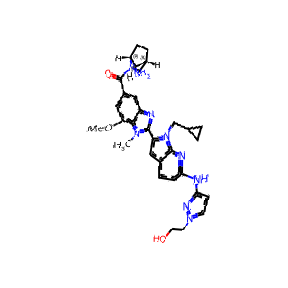 COc1cc(C(=O)N2C[C@H]3CC[C@@H]2[C@@H]3N)cc2nc(-c3cc4ccc(Nc5ccn(CCO)n5)nc4n3CC3CC3)n(C)c12